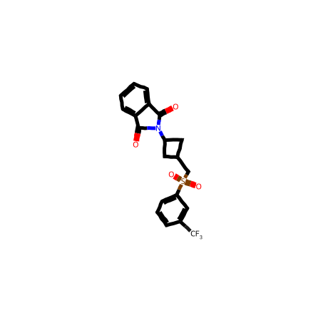 O=C1c2ccccc2C(=O)N1C1CC(CS(=O)(=O)c2cccc(C(F)(F)F)c2)C1